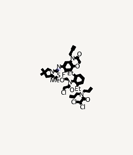 C#CCN1C(=O)COc2cc(F)c(/N=c3\snc4n3CC(C)(C)C4)cc21.C=CCN(CC=C)C(=O)C(Cl)Cl.CCc1cccc(CC)c1N(COC)C(=O)CCl